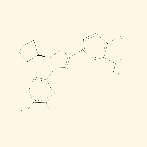 COC(=O)c1cc(C2=NN(c3ccc(C#N)c(C)n3)[C@@H](C3CCCC3)C2)ccc1OC